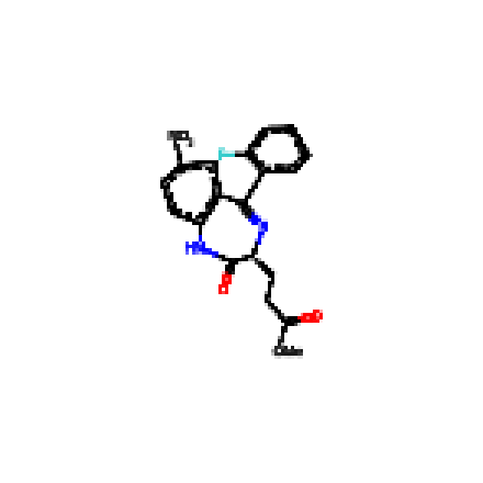 COC(=O)CC[C@@H]1N=C(c2ccccc2F)c2cc([N+](=O)[O-])ccc2NC1=O